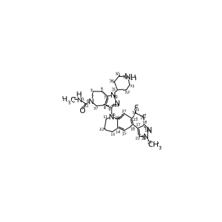 CNC(=O)N1CCc2c(c(N3CCCc4cc(-c5cnn(C)c5)c(C(F)F)cc43)nn2C2CCNCC2)C1